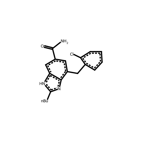 CCCCc1nc2c(Cc3ccccc3Cl)cc(C(N)=O)cc2[nH]1